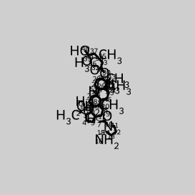 C=C(C)[C@@H]1CC[C@]2(CC(=O)N3CCC[C@@H]3CN)CC[C@]3(C)[C@H](CC[C@@H]4[C@@]5(C)CC[C@H](OC(=O)CC(C)(C)CC(=O)O)C(C)(C)[C@@H]5CC[C@]43C)[C@@H]12